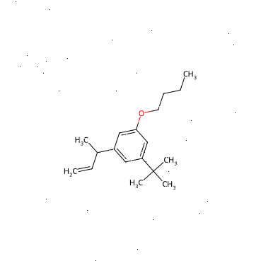 C=C[C](C)c1cc(OCCCC)cc(C(C)(C)C)c1